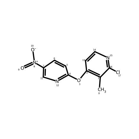 Cc1c(Oc2ccc([N+](=O)[O-])cn2)ccnc1Cl